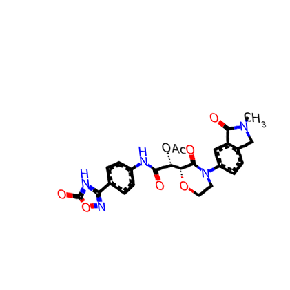 CC(=O)O[C@@H](C(=O)Nc1ccc(-c2noc(=O)[nH]2)cc1)[C@H]1OCCN(c2ccc3c(c2)C(=O)N(C)C3)C1=O